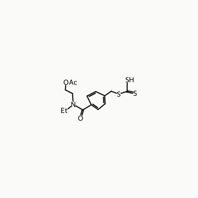 CCN(CCOC(C)=O)C(=O)c1ccc(CSC(=S)S)cc1